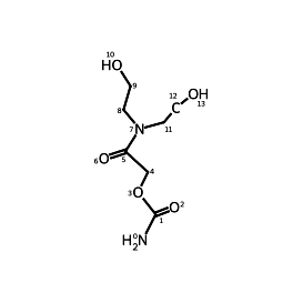 NC(=O)OCC(=O)N(CCO)CCO